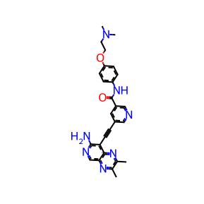 Cc1nc2cnc(N)c(C#Cc3cncc(C(=O)Nc4ccc(OCCN(C)C)cc4)c3)c2nc1C